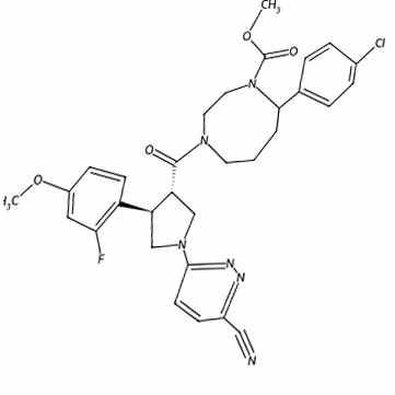 COC(=O)N1CCN(C(=O)[C@@H]2CN(c3ccc(C#N)nn3)C[C@H]2c2ccc(OC)cc2F)CCCC1c1ccc(Cl)cc1